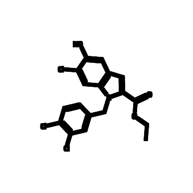 CCOC(=O)c1cc2cc(O)c(Cl)cc2n1Cc1ccc(Cl)c(Cl)c1